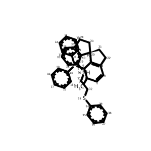 CC1C=CC2=C(C1P(c1ccccc1)c1ccccc1)[C@@]1(CC2)CCc2cccc(NCCSc3ccccc3)c21